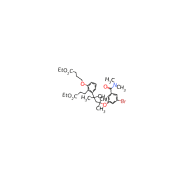 CCOC(=O)CCCOc1cccc(C(C)(C)CC(C)(C)Oc2cc(Br)cc(C(=O)N(C)C)c2)c1CCC(=O)OCC